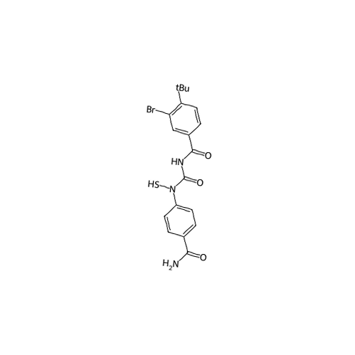 CC(C)(C)c1ccc(C(=O)NC(=O)N(S)c2ccc(C(N)=O)cc2)cc1Br